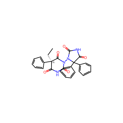 CC[C@@]1(c2ccccc2)C(=O)NC(=O)N(N2C(=O)NC(=O)C2(c2ccccc2)c2ccccc2)C1=O